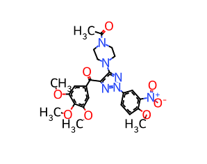 COc1ccc(-n2nc(C(=O)c3cc(OC)c(OC)c(OC)c3)c(N3CCN(C(C)=O)CC3)n2)cc1[N+](=O)[O-]